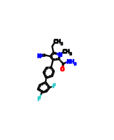 CCc1c(C#N)c(-c2ccc(-c3ccc(F)cc3F)cc2)c(C(N)=O)n1C